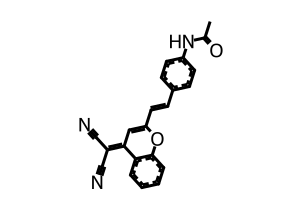 CC(=O)Nc1ccc(C=CC2=CC(=C(C#N)C#N)c3ccccc3O2)cc1